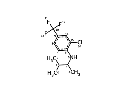 CC(C)C(C)Nc1ccc(C(F)(F)F)cc1Cl